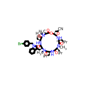 CC(C)C[C@@H]1NC(=O)[C@H](Cc2cn(Cc3ccc(Br)cc3)c3ccccc23)N(C)C(=O)[C@H](CC(C)C)NC(=O)[C@H](CC(C)C)N(C)C(=O)[C@H](CC(C)C)NC(=O)[C@@H](CCC#N)OC(=O)[C@H](C)N(C)C1=O